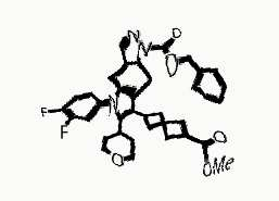 COC(=O)C1CC2(C1)CC(c1c(C3CCOCC3)n(-c3ccc(F)c(F)c3)c3cc4cnn(C(=O)OCc5ccccc5)c4cc13)C2